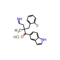 CC(CC=N)(Cc1ccccc1F)C(=O)c1ccc2[nH]ccc2c1.Cl